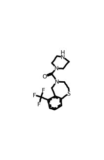 O=C(N1CCNCC1)N1CCSc2cccc(C(F)(F)F)c2C1